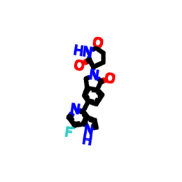 O=C1CCC(N2Cc3cc(-c4ncc(F)c5[nH]ccc45)ccc3C2=O)C(=O)N1